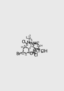 CC(C)(C)N(N)C(=O)c1cccc(Br)c1.Cl.Cl.O=C(Cl)c1ccccc1